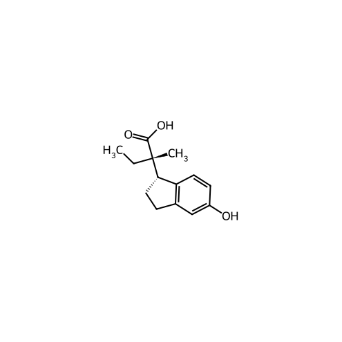 CC[C@](C)(C(=O)O)[C@H]1CCc2cc(O)ccc21